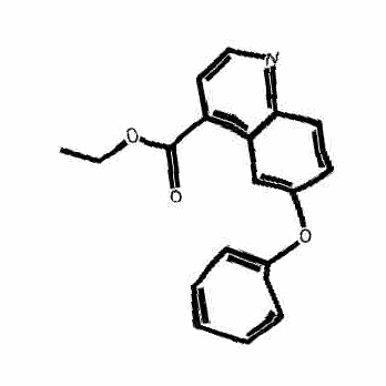 CCOC(=O)c1ccnc2ccc(Oc3ccccc3)cc12